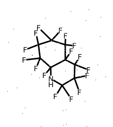 FC1(F)NC2(F)C(F)(F)C(F)(F)C(F)(F)C(F)(F)C2(F)C(F)(F)C1(F)F